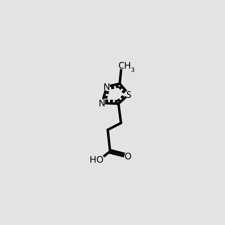 Cc1nnc(CCC(=O)O)s1